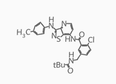 Cc1ccc(Nc2nsc3c(NC(=O)c4cc(CNC(=O)C(C)(C)C)ccc4Cl)ccnc23)cc1